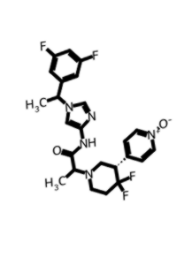 CC(C(=O)Nc1cn(C(C)c2cc(F)cc(F)c2)cn1)N1CCC(F)(F)[C@@H](c2cc[n+]([O-])cc2)C1